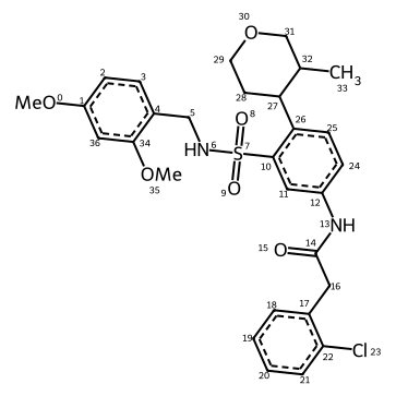 COc1ccc(CNS(=O)(=O)c2cc(NC(=O)Cc3ccccc3Cl)ccc2C2CCOCC2C)c(OC)c1